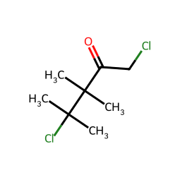 CC(C)(Cl)C(C)(C)C(=O)CCl